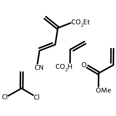 C=C(C=CC#N)C(=O)OCC.C=C(Cl)Cl.C=CC(=O)O.C=CC(=O)OC